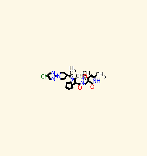 COc1cc(C)[nH]c(=O)c1CNC(=O)c1c(C)n([C@H](C)C2CCN(c3ncc(Cl)cn3)CC2)c2ccccc12